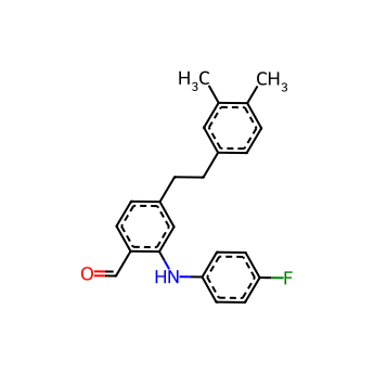 Cc1ccc(CCc2ccc(C=O)c(Nc3ccc(F)cc3)c2)cc1C